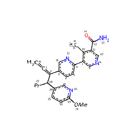 C=C=C(c1ccc(-c2cncc(C(N)=O)c2C)nc1)C(c1ccc(OC)nc1)C(C)C